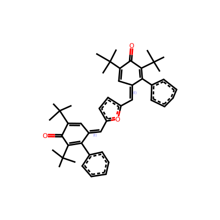 CC(C)(C)C1=C/C(=C\c2ccc(/C=C3\C=C(C(C)(C)C)C(=O)C(C(C)(C)C)=C3c3ccccc3)o2)C(c2ccccc2)=C(C(C)(C)C)C1=O